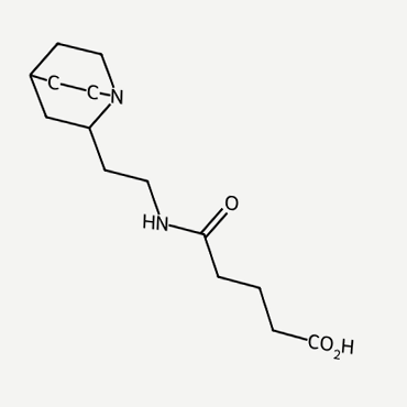 O=C(O)CCCC(=O)NCCC1CC2CCN1CC2